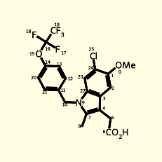 COc1cc2c(CC(=O)O)c(C)n(Cc3ccc(OC(F)(F)C(F)(F)F)cc3)c2cc1Cl